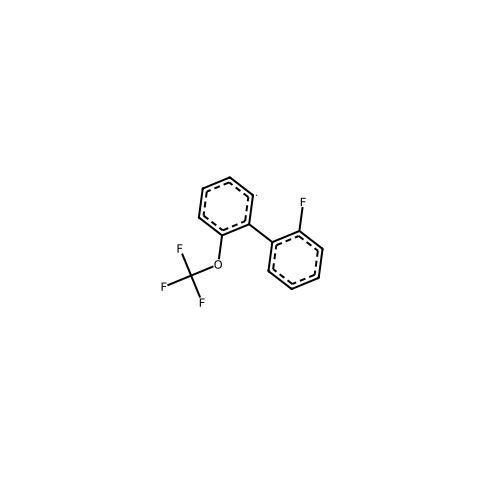 Fc1ccccc1-c1[c]cccc1OC(F)(F)F